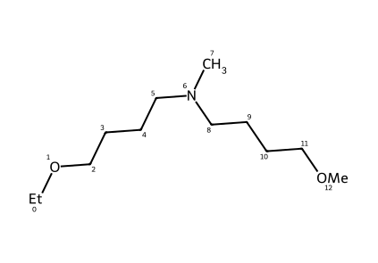 CCOCCCCN(C)CCCCOC